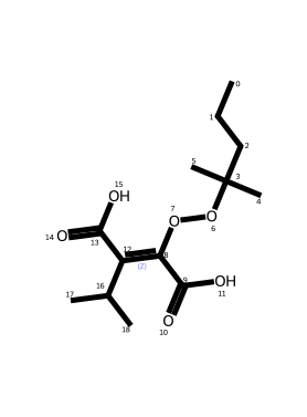 CCCC(C)(C)OO/C(C(=O)O)=C(\C(=O)O)C(C)C